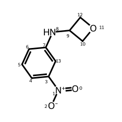 O=[N+]([O-])c1cccc(NC2COC2)c1